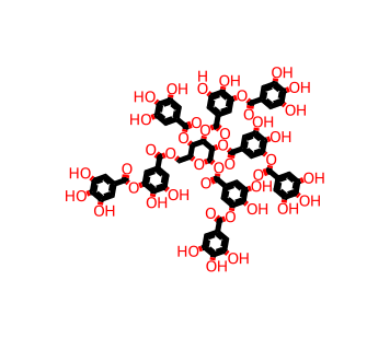 O=C(OCC1OC(OC(=O)c2cc(O)c(O)c(OC(=O)c3cc(O)c(O)c(O)c3)c2)C(OC(=O)c2cc(O)c(O)c(OC(=O)c3cc(O)c(O)c(O)c3)c2)C(OC(=O)c2cc(O)c(O)c(OC(=O)c3cc(O)c(O)c(O)c3)c2)C1OC(=O)c1cc(O)c(O)c(O)c1)c1cc(O)c(O)c(OC(=O)c2cc(O)c(O)c(O)c2)c1